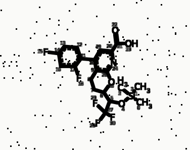 C[Si](C)(C)OC(C1CCc2c(-c3ccc(F)cc3F)cc(C(=O)O)nc2O1)C(F)(F)F